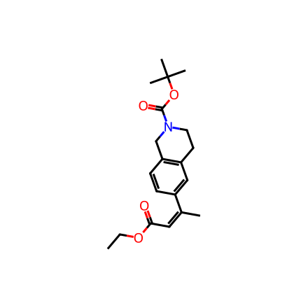 CCOC(=O)/C=C(/C)c1ccc2c(c1)CCN(C(=O)OC(C)(C)C)C2